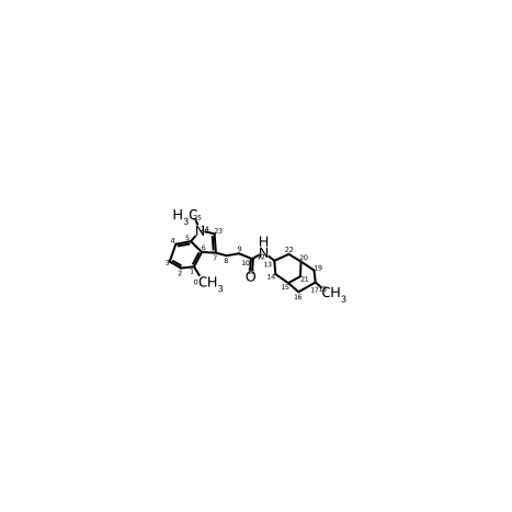 Cc1cccc2c1c(CCC(=O)NC1CC3CC(C)CC(C3)C1)cn2C